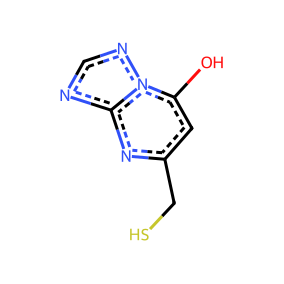 Oc1cc(CS)nc2ncnn12